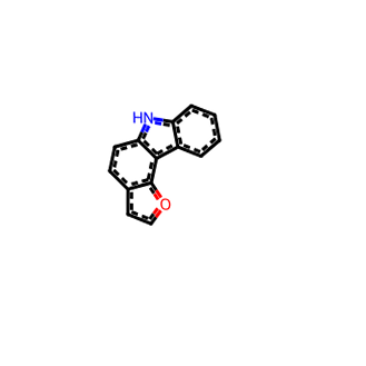 c1ccc2c(c1)[nH]c1ccc3ccoc3c12